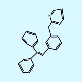 C(=C(c1ccccc1)c1ccccc1)c1cccc(Sc2ccccn2)c1